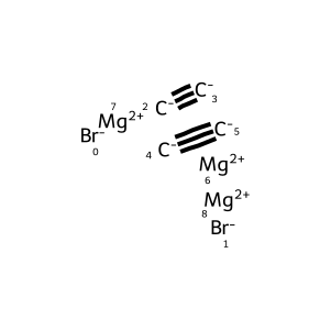 [Br-].[Br-].[C-]#[C-].[C-]#[C-].[Mg+2].[Mg+2].[Mg+2]